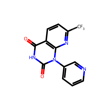 O=c1[nH]c(=O)n(-c2cccnc2)c2nc(C(F)(F)F)ccc12